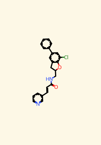 O=C(C=Cc1cccnc1)NCC1Cc2cc(-c3ccccc3)cc(Cl)c2O1